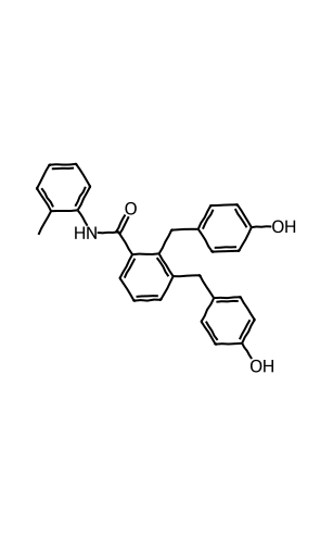 Cc1ccccc1NC(=O)c1cccc(Cc2ccc(O)cc2)c1Cc1ccc(O)cc1